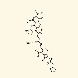 O=C(Cc1cccs1)NC1C(=O)N2C(C(=O)[O-])=C(CNC(=S)SCC(=O)N(c3c(F)cc4c(=O)c(C(=O)[O-])cn(C5CC5)c4c3Cl)C3CCNC3)CSC12.[Na+].[Na+]